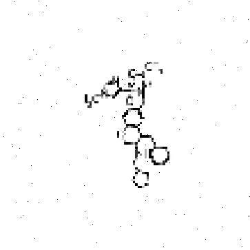 Cn1cnc(S(=O)(=O)N(Cc2ccc3c(c2)C(Cc2ccccc2)C(NCC2CCCC2)CO3)OC(=O)C(F)(F)F)c1